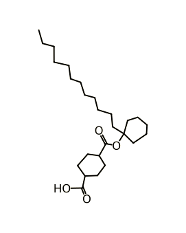 CCCCCCCCCCCCC1(OC(=O)C2CCC(C(=O)O)CC2)CCCCC1